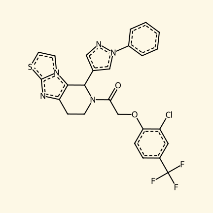 O=C(COc1ccc(C(F)(F)F)cc1Cl)N1CCc2nc3sccn3c2C1c1cnn(-c2ccccc2)c1